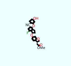 COC(=O)C[C@@H]1COc2cc(O[C@@H]3CCc4c(Oc5cc(O)ccc5C#N)ccc(F)c43)ccc21